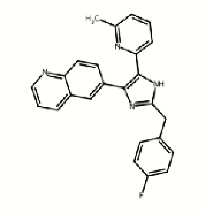 Cc1cccc(-c2[nH]c(Cc3ccc(F)cc3)nc2-c2ccc3ncccc3c2)n1